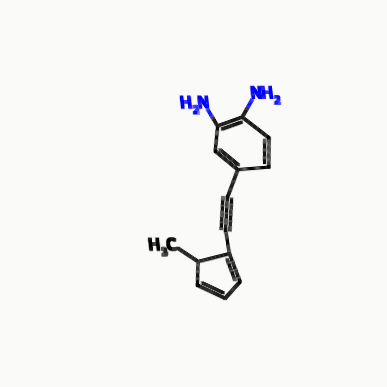 CC1C=CC=C1C#Cc1ccc(N)c(N)c1